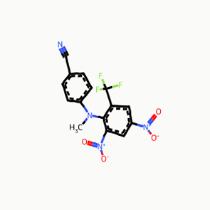 CN(c1ccc(C#N)cc1)c1c([N+](=O)[O-])cc([N+](=O)[O-])cc1C(F)(F)F